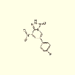 O=c1[nH]nc2c([N+](=O)[O-])cc(-c3ccc(F)cc3)cn12